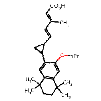 CCCOc1cc2c(cc1C1CC1/C=C/C(C)=C/C(=O)O)C(C)(C)CCC2(C)C